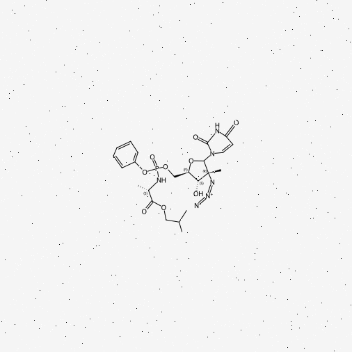 CC(C)COC(=O)[C@H](C)NP(=O)(OC[C@H]1OC(n2ccc(=O)[nH]c2=O)[C@](C)(N=[N+]=[N-])[C@@H]1O)Oc1ccccc1